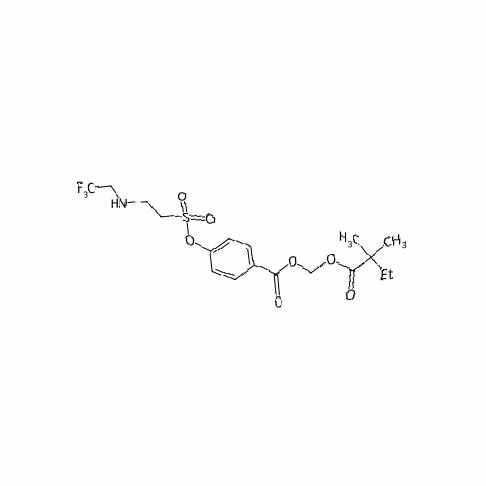 CCC(C)(C)C(=O)OCOC(=O)c1ccc(OS(=O)(=O)CCNCC(F)(F)F)cc1